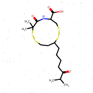 CC(C)C(=O)CCCCC1CCSSC(C)(C)C(=O)NC(C(=O)O)CSS1